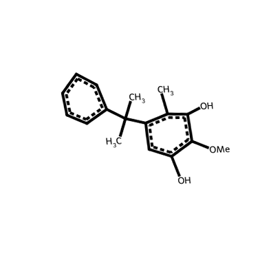 COc1c(O)cc(C(C)(C)c2ccccc2)c(C)c1O